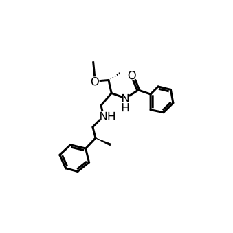 CO[C@H](C)C(CNC[C@@H](C)c1ccccc1)NC(=O)c1ccccc1